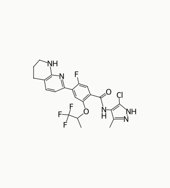 Cc1n[nH]c(Cl)c1NC(=O)c1cc(F)c(-c2ccc3c(n2)NCCC3)cc1OC(C)C(F)(F)F